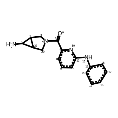 NC1C2CN(C(=O)c3cccc(Nc4ccccc4)n3)CC12